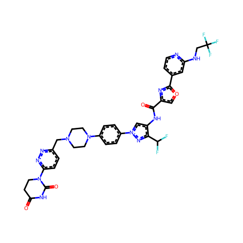 O=C1CCN(c2ccc(CN3CCN(c4ccc(-n5cc(NC(=O)c6coc(-c7ccnc(NCC(F)(F)F)c7)n6)c(C(F)F)n5)cc4)CC3)nn2)C(=O)N1